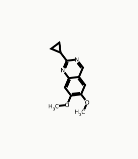 COc1cc2cnc(C3CC3)nc2cc1OC